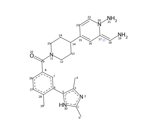 Cc1nc(C)c(-c2cc(C(=O)N3CCC(C4=C/C(=C/N)N(N)C=C4)CC3)ccc2C)[nH]1